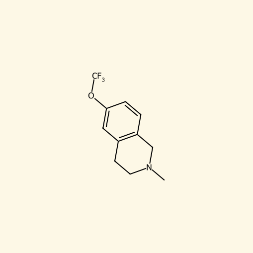 CN1CCc2cc(OC(F)(F)F)ccc2C1